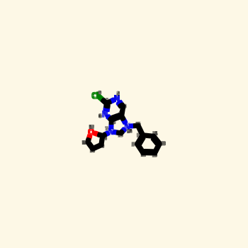 Clc1ncc2c(n1)N(C1CCCO1)CN2Cc1ccccc1